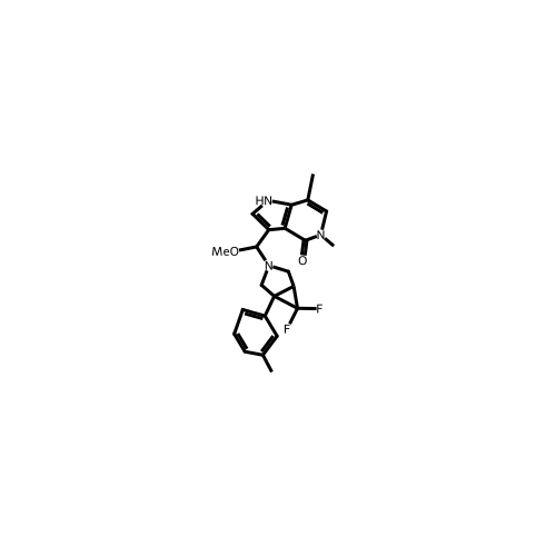 COC(c1c[nH]c2c(C)cn(C)c(=O)c12)N1CC2C(F)(F)C2(c2cccc(C)c2)C1